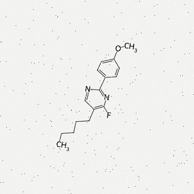 CCCCCc1cnc(-c2ccc(OC)cc2)nc1F